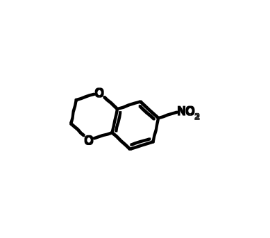 O=[N+]([O-])c1ccc2c(c1)OCCO2